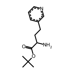 CC(C)(C)OC(=O)C(N)CCc1cccnc1